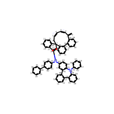 C=C1/C=C\C=C/CC2(c3ccccc3-c3ccccc31)c1ccccc1-c1cc(N(c3ccc(-c4ccccc4)cc3)c3ccc4c(c3)-c3ccccc3-c3ccccc3N4c3ccccc3)ccc12